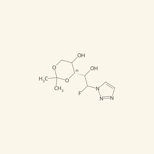 CC1(C)OCC(O)[C@H](C(O)C(F)n2ccnn2)O1